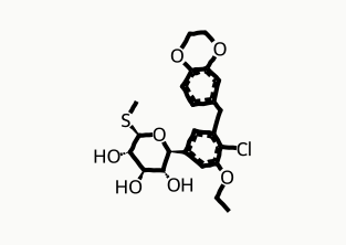 CCOc1cc([C@@H]2O[C@H](SC)[C@@H](O)[C@H](O)[C@H]2O)cc(Cc2ccc3c(c2)OCCO3)c1Cl